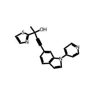 CC(O)(C#Cc1ccc2ccn(-c3ccncc3)c2c1)c1nccs1